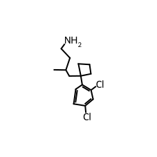 CC(CCN)CC1(c2ccc(Cl)cc2Cl)CCC1